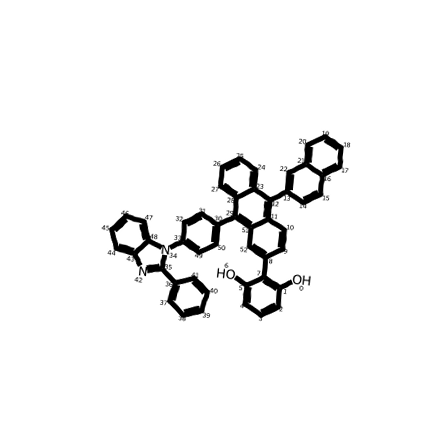 Oc1cccc(O)c1-c1ccc2c(-c3ccc4ccccc4c3)c3ccccc3c(-c3ccc(-n4c(-c5ccccc5)nc5ccccc54)cc3)c2c1